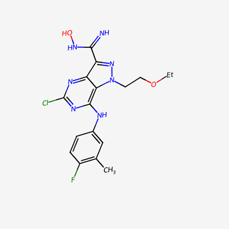 CCOCCn1nc(C(=N)NO)c2nc(Cl)nc(Nc3ccc(F)c(C)c3)c21